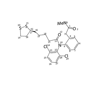 CNC(=O)Cc1ccccc1N(C(=O)CCCC[C@H]1CCSS1)c1c(Cl)cccc1Cl